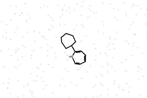 [CH]1CCCCCC1C1=CC=CC=CN1